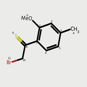 COc1cc(C)ccc1C(=S)CBr